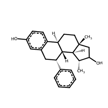 C[C@H]1C(O)C[C@@]2(C)CC[C@@H]3c4ccc(O)cc4C[C@@H](c4ccccc4)[C@H]3[C@H]12